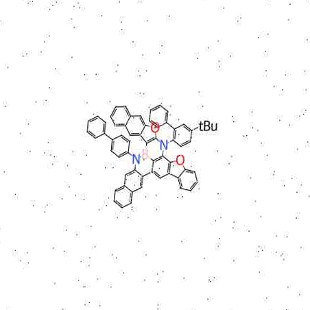 CC(C)(C)c1ccc(N2c3oc4cc5ccccc5cc4c3B3c4c(cc5c(oc6ccccc65)c42)-c2cc4ccccc4cc2N3c2ccc(-c3ccccc3)cc2)c(-c2ccccc2)c1